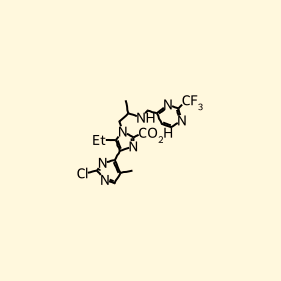 CCc1c(-c2nc(Cl)ncc2C)nc(C(=O)O)n1CC(C)NCc1ccnc(C(F)(F)F)n1